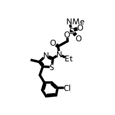 CCN(C(=O)COS(=O)(=O)NC)c1nc(C)c(Cc2cccc(Cl)c2)s1